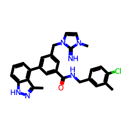 Cc1cc(CNC(=O)c2cc(Cn3ccn(C)c3=N)cc(-c3cccc4[nH]nc(C)c34)c2)ccc1Cl